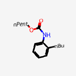 [CH2]CCCc1ccccc1NC(=O)OCCCCC